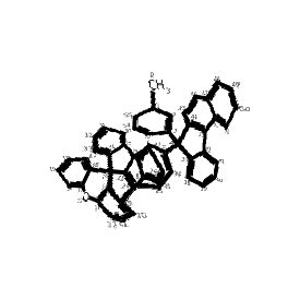 CC1C=C(C2(c3ccc(-c4cccc5c4C4(c6ccccc6O5)c5ccccc5-c5ccccc54)cc3)c3ccccc3-c3c2ccc2ccccc32)C=CC1